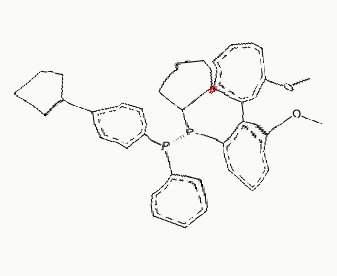 COc1ccc[c]c1-c1c(OC)cccc1P(C1CCCC1)[P@](c1ccccc1)c1ccc(C2CCCC2)cc1